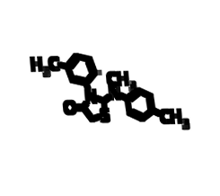 Cc1ccc(N(C)C2SCC(=O)N2c2[c]ccc(C)c2)cc1